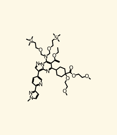 C=C(OCC)c1c(C2CCC(OCCOC)(C(=O)OCCOC)CC2)nc2c(-c3ccc(-c4ccn(C)n4)nc3)cnn2c1N(COCC[Si](C)(C)C)COCC[Si](C)(C)C